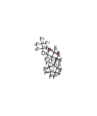 FC(F)(F)C(F)(F)OC(F)(F)C(OC1(F)C(F)(F)C(F)(F)C(F)(F)C1(F)F)(C(F)(F)F)C(F)(F)F